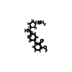 COc1cccn(-c2ccc(N[C@H]3CC[C@H](N)C3)nc2)c1=O